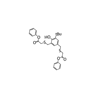 CC(C)(C)c1cc(CSCC(=O)Oc2ccccc2)cc(CSCC(=O)Oc2ccccc2)c1O